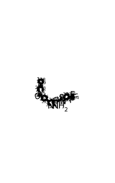 Nc1ncc(-c2ccc(C(=O)N3CCC(N4CCCC4)CC3)cc2)cc1OCc1nc2cc(C(F)(F)F)ccc2s1